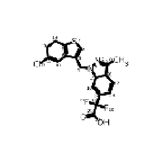 CC1=NN(Cc2csc3c2C=C(Cl)CC3)C2C=C(C(F)(F)C(=O)O)C=CC12